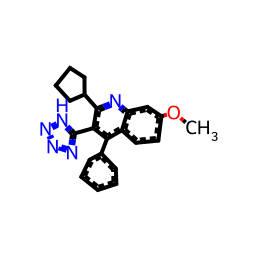 COc1ccc2c(-c3ccccc3)c(-c3nnn[nH]3)c(C3CCCC3)nc2c1